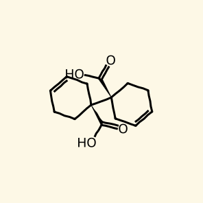 O=C(O)[C@]1([C@@]2(C(=O)O)CC=CCC2)CC=CCC1